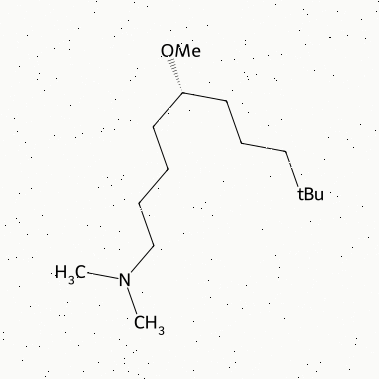 CO[C@@H](CCCCN(C)C)CCCC(C)(C)C